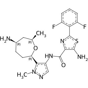 C[C@@H]1C[C@H](N)CC[C@H](c2c(NC(=O)c3nc(-c4c(F)cccc4F)sc3N)cnn2C)O1